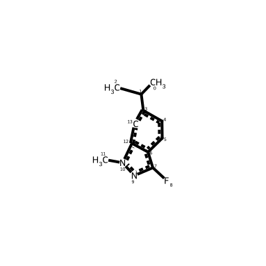 CC(C)c1ccc2c(F)nn(C)c2c1